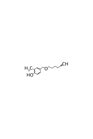 C#CCCCCOCc1ccc(O)c(C)c1